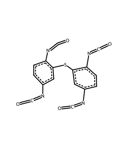 O=C=Nc1ccc(N=C=O)c(Sc2cc(N=C=O)ccc2N=C=O)c1